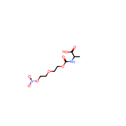 CC(NC(=O)OCCOCCO[N+](=O)[O-])C(=O)O